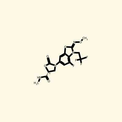 CNC(=O)[C@H]1CN(c2cc(F)c3c(c2)oc(=NOC)n3CC(F)(F)F)C(=O)O1